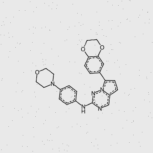 c1cc(N2CCOCC2)ccc1Nc1ncc2ccc(-c3ccc4c(c3)OCCO4)n2n1